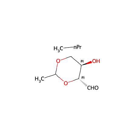 CC1OC[C@@H](O)[C@H](C=O)O1.CCCC